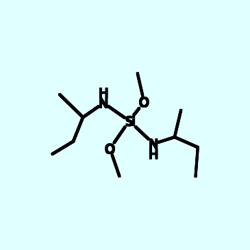 CCC(C)N[Si](NC(C)CC)(OC)OC